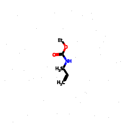 C=C[SiH2]NC(=O)OCC